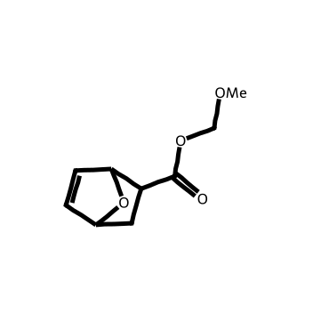 COCOC(=O)C1CC2C=CC1O2